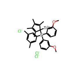 COc1cccc([Si](c2cc(C)cc(C)c2)(c2cccc(OC)c2)[C]2([Ti+3])C(C)=C(C)C(C)=C2C)c1.[Cl-].[Cl-].[Cl-]